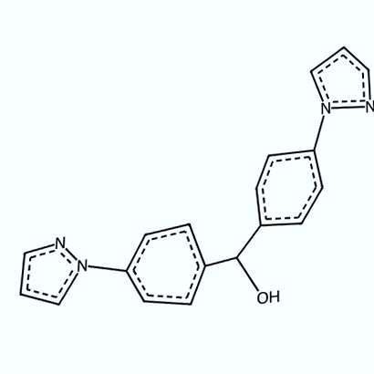 OC(c1ccc(-n2cccn2)cc1)c1ccc(-n2cccn2)cc1